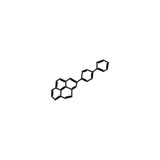 c1ccc(-c2ccc(-c3cc4ccc5cccc6ccc(c3)c4c56)cc2)cc1